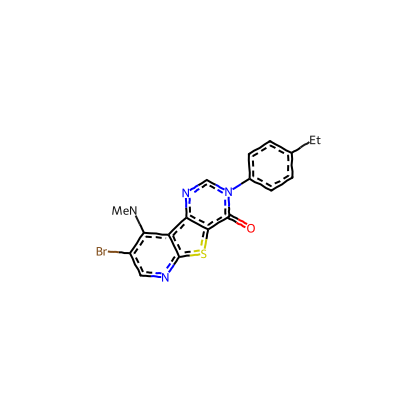 CCc1ccc(-n2cnc3c(sc4ncc(Br)c(NC)c43)c2=O)cc1